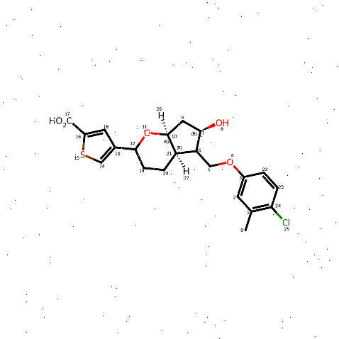 Cc1cc(OCC2[C@H](O)C[C@@H]3OC(c4csc(C(=O)O)c4)CC[C@H]23)ccc1Cl